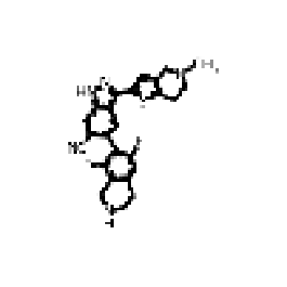 CN1CCc2sc(-c3n[nH]c4cc(C#N)c(-c5c(F)cc6c(c5F)CNCC6)cc34)cc2C1